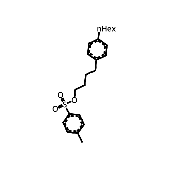 CCCCCCc1ccc(CCCCOS(=O)(=O)c2ccc(C)cc2)cc1